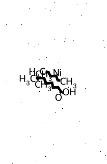 CC(C)(C)CCCCCC(=O)O.CCCCCC.[Ni]